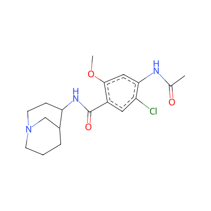 COc1cc(NC(C)=O)c(Cl)cc1C(=O)NC1CCN2CCCC1C2